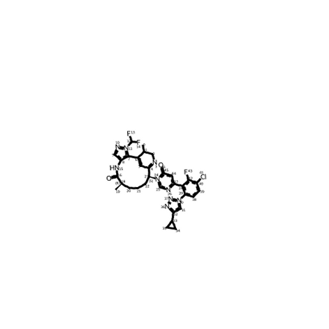 CC1CN=C2C=C1c1c(cnn1C(F)F)NC(=O)[C@H](C)CCC[C@@H]2n1cnc(-c2c(-n3cc(C4CC4)nn3)ccc(Cl)c2F)cc1=O